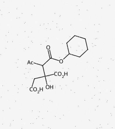 CC(=O)C(C(=O)OC1CCCCC1)C(O)(CC(=O)O)C(=O)O